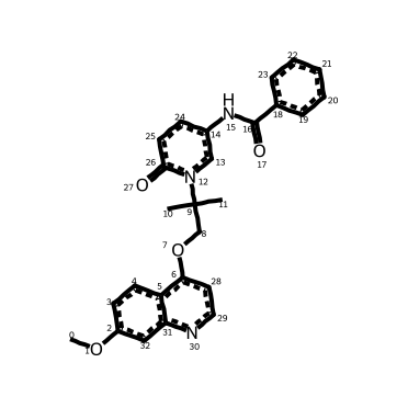 COc1ccc2c(OCC(C)(C)n3cc(NC(=O)c4ccccc4)ccc3=O)ccnc2c1